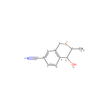 CC1SCc2cc(C#N)ccc2C1O